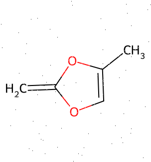 C=C1OC=C(C)O1